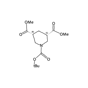 COC(=O)[C@@H]1C[C@H](C(=O)OC)CN(C(=O)OC(C)(C)C)C1